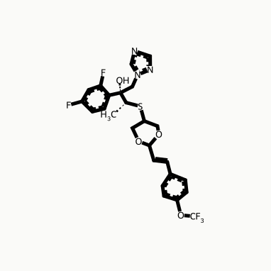 C[C@@H](SC1COC(C=Cc2ccc(OC(F)(F)F)cc2)OC1)[C@](O)(Cn1cncn1)c1ccc(F)cc1F